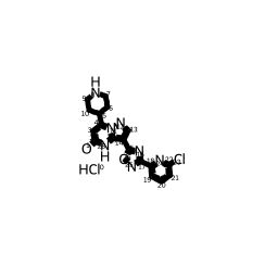 Cl.O=c1cc(C2CCNCC2)n2ncc(-c3nc(-c4cccc(Cl)n4)no3)c2[nH]1